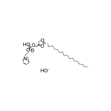 CCCCCCCCCCCCCCCCC[C@H]1OC[C@H](COP(=O)(O)OCC[n+]2ccccc2)O1.[OH-]